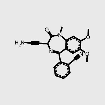 COc1cc2c(cc1OC)N(C)C(=O)C(C#CN)N=C2c1ccccc1C#N